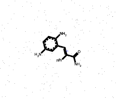 CCC/C(=C\c1cc(N)ccc1N)C(N)=O